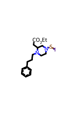 CCOC(=O)CC1CN(SI)CCN1CCCc1ccccc1